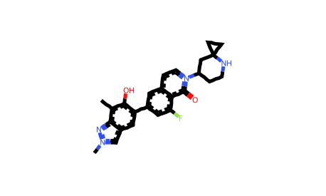 Cc1c(O)c(-c2cc(F)c3c(=O)n(C4CCNC5(CC5)C4)ccc3c2)cc2cn(C)nc12